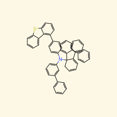 C1=CCC(c2ccccc2-c2ccccc2)(N(c2ccc(-c3cccc4sc5ccccc5c34)cc2)c2cccc(-c3ccccc3)c2)C(c2ccccc2)=C1